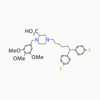 COc1cc(CN2CCN(CCCCCC(c3ccc(F)cc3)c3ccc(F)cc3)CC2C(=O)O)cc(OC)c1OC